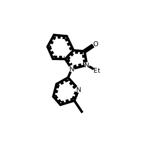 CCn1c(=O)c2ccccc2n1-c1cccc(C)n1